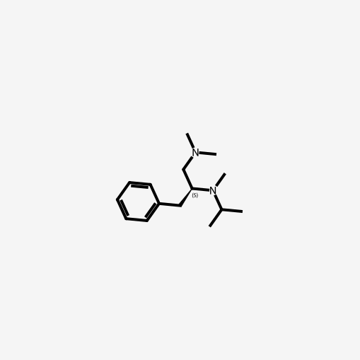 CC(C)N(C)[C@@H](Cc1ccccc1)CN(C)C